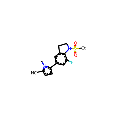 CCS(=O)(=O)N1CCc2cc(-c3ccc(C#N)n3C)cc(F)c21